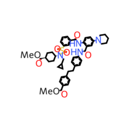 COC(=O)c1ccc(CCc2ccc(NC(=O)c3cc(N4CCCCC4)ccc3NC(=O)c3cccc(S(=O)(=O)N(CC4CC4)[C@H]4CC[C@H](C(=O)OC)CC4)c3)cc2)cc1